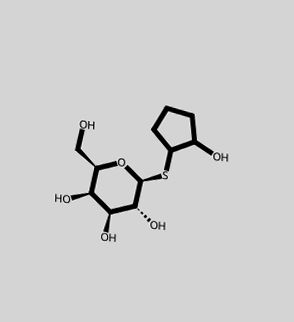 OC[C@H]1O[C@@H](SC2CCCC2O)[C@H](O)[C@@H](O)[C@H]1O